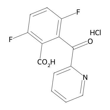 Cl.O=C(O)c1c(F)ccc(F)c1C(=O)c1ccccn1